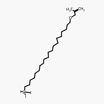 C=C(C)COCCCCCCCCCCCCCCCCCCCC[Si](I)(I)I